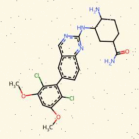 COc1cc(OC)c(Cl)c(-c2ccc3nc(NC4CC(C(N)=O)CCC4N)ncc3c2)c1Cl